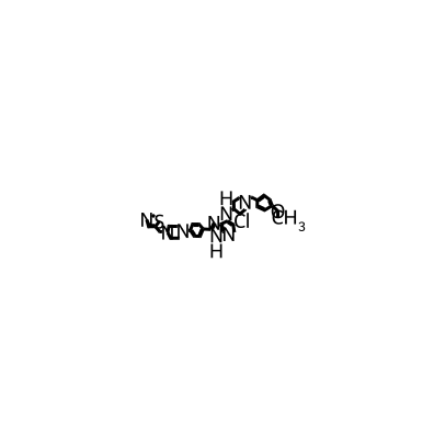 COc1ccc(CN2CCC(Nc3c(Cl)cnc4[nH]c(-c5ccc(N6CCN(Cc7cncs7)CC6)cc5)nc34)CC2)cc1